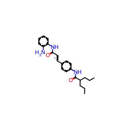 CCCC(CCC)C(=O)Nc1ccc(/C=C/C(=O)Nc2ccccc2N)cc1